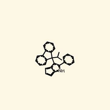 CC(C)C1(c2c(-c3ccccc3)[nH]c3c2=CC=C=3)c2ccccc2-c2ccccc21